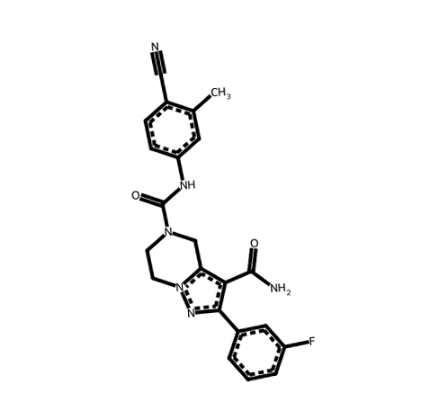 Cc1cc(NC(=O)N2CCn3nc(-c4cccc(F)c4)c(C(N)=O)c3C2)ccc1C#N